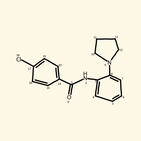 O=C(Nc1ccccc1N1CCCC1)c1ccc(Cl)cc1